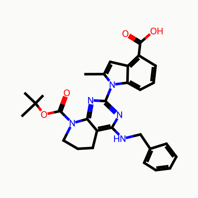 Cc1cc2c(C(=O)O)cccc2n1-c1nc(NCc2ccccc2)c2c(n1)N(C(=O)OC(C)(C)C)CCC2